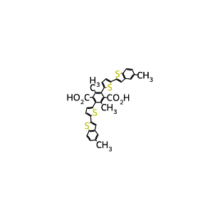 Cc1ccc2sc(-c3ccc(-c4c(C)c(C(=O)O)c(-c5ccc(-c6cc7cc(C)ccc7s6)s5)c(C)c4C(=O)O)s3)cc2c1